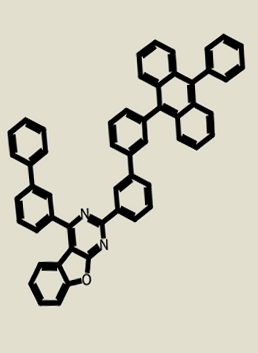 c1ccc(-c2cccc(-c3nc(-c4cccc(-c5cccc(-c6c7ccccc7c(-c7ccccc7)c7ccccc67)c5)c4)nc4oc5ccccc5c34)c2)cc1